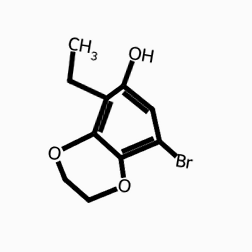 CCc1c(O)cc(Br)c2c1OCCO2